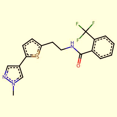 Cn1cc(-c2ccc(CCNC(=O)c3ccccc3C(F)(F)F)s2)cn1